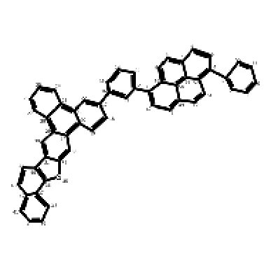 c1ccc(-c2ccc3ccc4c(-c5cccc(-c6ccc7c(c6)c6ccccc6c6cc8c(cc76)sc6c7ccccc7ccc86)c5)ccc5ccc2c3c54)cc1